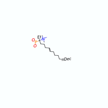 CCCCCCCCCCCCCCC=CCCCC(CC)(P(=O)=O)[N+](C)(C)C